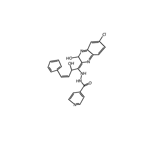 O=C(NN/C(=C1\N=c2ccc(Cl)cc2=NC1O)C(O)/C=C\c1ccccc1)c1ccncc1